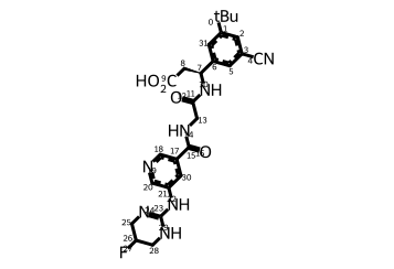 CC(C)(C)c1cc(C#N)cc([C@H](CC(=O)O)NC(=O)CNC(=O)c2cncc(NC3=NCC(F)CN3)c2)c1